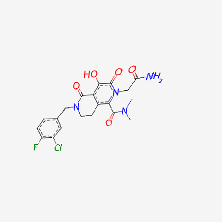 CN(C)C(=O)c1c2c(c(O)c(=O)n1CC(N)=O)C(=O)N(Cc1ccc(F)c(Cl)c1)CC2